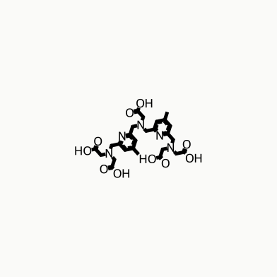 Cc1cc(CN(CC(=O)O)CC(=O)O)nc(CN(CC(=O)O)Cc2cc(C)cc(CN(CC(=O)O)CC(=O)O)n2)c1